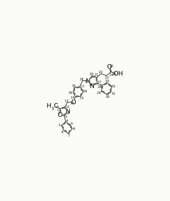 Cc1oc(-c2ccccc2)nc1COc1ccc(Cn2cc(CCC(=O)O)c(-c3ccccc3)n2)cc1